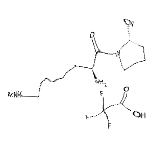 CC(=O)NCCCC[C@H](N)C(=O)N1CCC[C@H]1C#N.O=C(O)C(F)(F)F